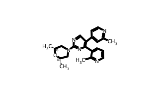 Cc1cc(-c2cnc(N3C[C@@H](C)O[C@@H](C)C3)nc2-c2cccnc2C)ccn1